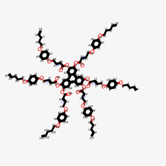 C=CCCCOc1ccc(OC/C=C/C(=O)Oc2cc3c4cc(OC(=O)/C=C/COc5ccc(OCCCC=C)cc5)c(OC(=O)/C=C/COc5ccc(OCCCC=C)cc5)cc4c4cc(OC(=O)/C=C/COc5ccc(OCCCC=C)cc5)c(OC(=O)/C=C/COc5ccc(OCCCC=C)cc5)cc4c3cc2OC(=O)/C=C/COc2ccc(OCCCC=C)cc2)cc1